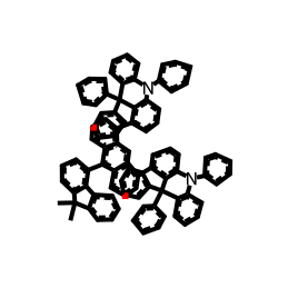 CC1(C)c2ccccc2-c2c(-c3c4cccc(-c5cccc6c5C(c5ccccc5)(c5ccccc5)c5ccccc5N6c5ccccc5)c4cc4c(-c5cccc6c5C(c5ccccc5)(c5ccccc5)c5ccccc5N6c5ccccc5)cccc34)cccc21